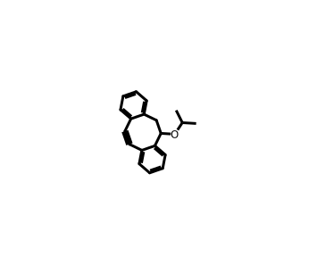 CC(C)OC1Cc2ccccc2C#Cc2ccccc21